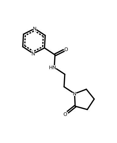 O=C(NCCN1CCCC1=O)c1cnccn1